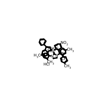 Cc1ccc(N=Cc2cc([N+](=O)[O-])cc[c]2[Ru](=[C]2C=C(c3ccccc3)c3ccccc32)=[C]2N(c3c(C)cc(C)cc3C)CCN2c2c(C)cc(C)cc2C)cc1.Cl